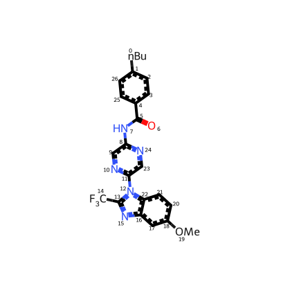 CCCCc1ccc(C(=O)Nc2cnc(-n3c(C(F)(F)F)nc4cc(OC)ccc43)cn2)cc1